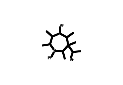 CC(C)C(C)C1(C)C(C)N(C(C)C)C(C)C(C)N(C(C)C)C1C